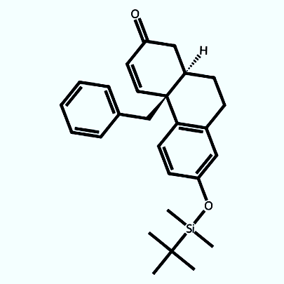 CC(C)(C)[Si](C)(C)Oc1ccc2c(c1)CC[C@@H]1CC(=O)C=C[C@@]21Cc1ccccc1